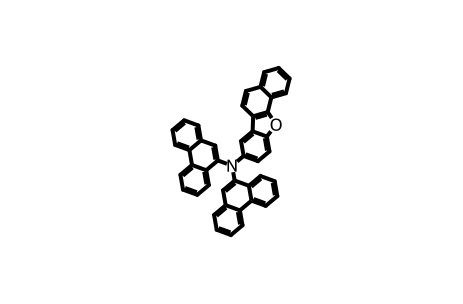 c1ccc2c(c1)cc(N(c1ccc3oc4c5ccccc5ccc4c3c1)c1cc3ccccc3c3ccccc13)c1ccccc12